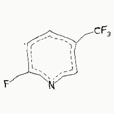 Fc1[c]cc(C(F)(F)F)cn1